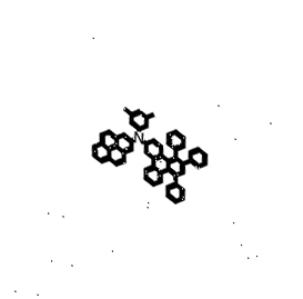 CC1=CC(C)CC(N(c2cc3ccc4cccc5ccc(c2)c3c45)C2C=Cc3c(c4ccccc4c4c(-c5ccccc5)cc(-c5ccccc5)c(-c5ccccc5)c34)C2)=C1